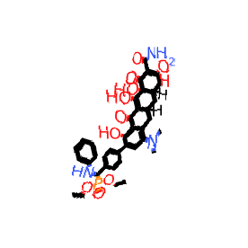 CCOP(=O)(OCC)C(Nc1ccccc1)c1ccc(-c2cc(N(C)C)c3c(c2O)C(=O)C2=C(O)[C@]4(O)C(=O)C(C(N)=O)=C(O)C[C@@H]4C[C@@H]2C3)cc1